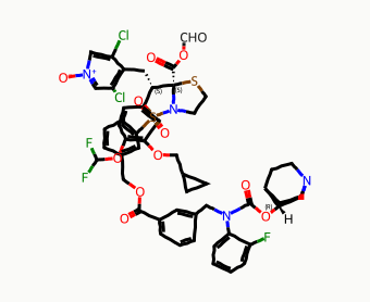 O=COC(=O)[C@]1([C@@H](Cc2c(Cl)c[n+]([O-])cc2Cl)c2ccc(OC(F)F)c(OCC3CC3)c2)SCCN1S(=O)(=O)c1cccc(COC(=O)c2cccc(CN(C(=O)O[C@H]3CN4CCC3CC4)c3ccccc3F)c2)c1